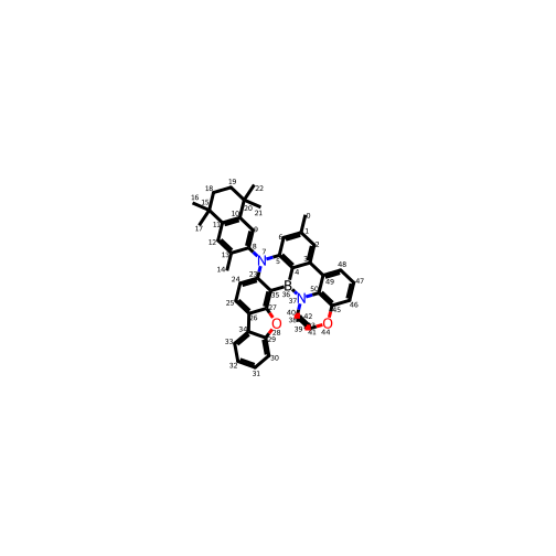 Cc1cc2c3c(c1)N(c1cc4c(cc1C)C(C)(C)CCC4(C)C)c1ccc4c(oc5ccccc54)c1B3N1c3ccccc3Oc3cccc-2c31